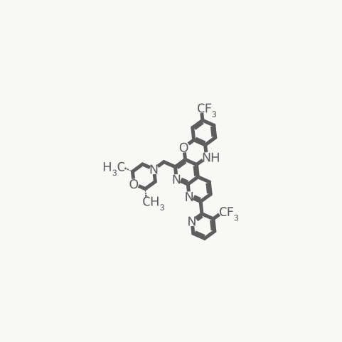 C[C@@H]1CN(Cc2nc3nc(-c4ncccc4C(F)(F)F)ccc3c3c2Oc2cc(C(F)(F)F)ccc2N3)C[C@H](C)O1